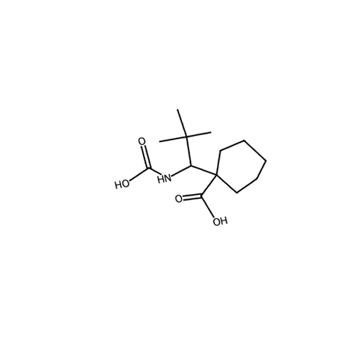 CC(C)(C)C(NC(=O)O)C1(C(=O)O)CCCCC1